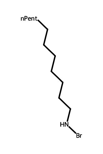 CCCCCCCCCCCCNBr